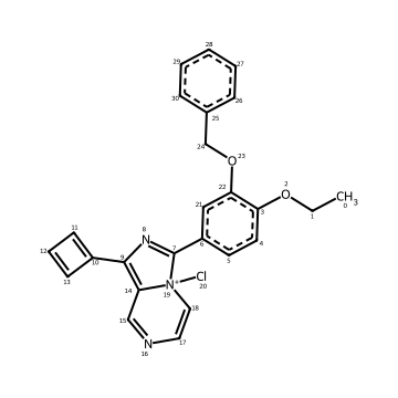 CCOc1ccc(C2=NC(C3=CC=C3)=C3C=NC=C[N+]23Cl)cc1OCc1ccccc1